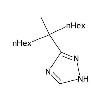 CCCCCCC(C)(CCCCCC)c1nc[nH]n1